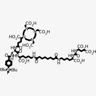 CC(C)(C)[Si](F)(c1ccc(C(=O)NC[C@H](NC(=O)CC[C@@H](C(=O)O)N2CCN(CC(=O)O)CCN(CC(=O)O)CCN(CC(=O)O)CC2)C(=O)N[C@@H](CCCCNC(=O)CCCCCCC(=O)NCCCC[C@H](NC(=O)N[C@@H](CCC(=O)O)C(=O)O)C(=O)O)C(=O)O)cc1)C(C)(C)C